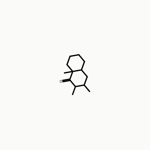 CC1CC2CCCCC2(C)C(=O)C1C